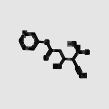 C#CC(C(O)CC(=O)Oc1cccnc1)[PH](=O)O